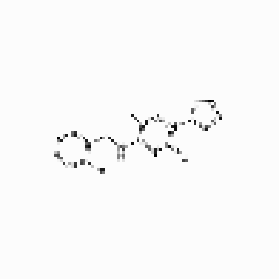 O=c1nc(NCc2ccccc2F)c(F)cn1-c1ccsc1